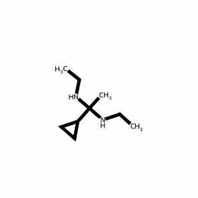 CCNC(C)(NCC)C1CC1